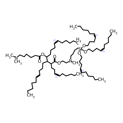 CCCCCC=CCCCC(C(CCC/C=C\CCCCC)OC(=O)CCCCCN(C)C)C(CC/C=C\CCCCC)C(=O)OCCN(C)CCCC[Si](OCCC/C=C\CCCCC)(OCCC/C=C\CCCCC)OCCC/C=C\CCCCC